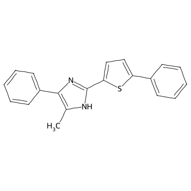 Cc1[nH]c(-c2ccc(-c3ccccc3)s2)nc1-c1ccccc1